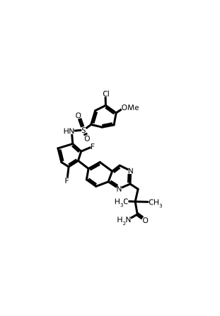 COc1ccc(S(=O)(=O)Nc2ccc(F)c(-c3ccc4nc(CC(C)(C)C(N)=O)ncc4c3)c2F)cc1Cl